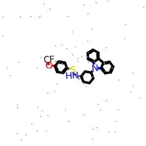 FC(F)(F)Oc1ccc(SN[C@H]2CCCC(n3c4ccccc4c4ccccc43)C2)cc1